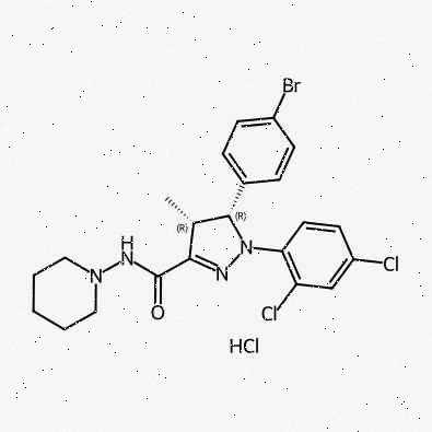 C[C@H]1C(C(=O)NN2CCCCC2)=NN(c2ccc(Cl)cc2Cl)[C@H]1c1ccc(Br)cc1.Cl